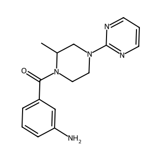 CC1CN(c2ncccn2)CCN1C(=O)c1cccc(N)c1